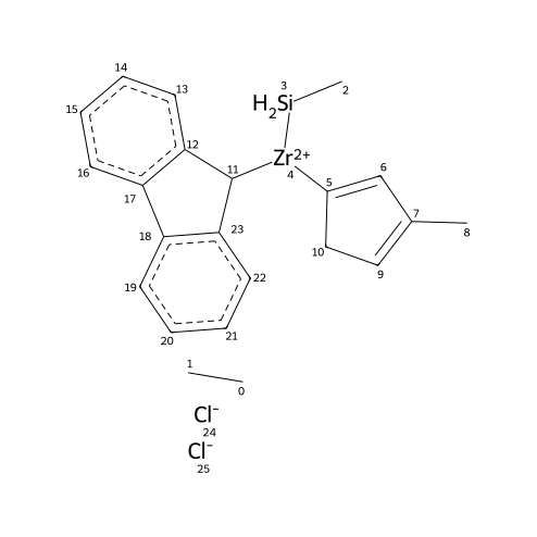 CC.C[SiH2][Zr+2]([C]1=CC(C)=CC1)[CH]1c2ccccc2-c2ccccc21.[Cl-].[Cl-]